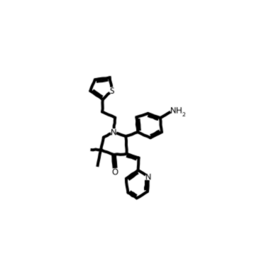 CC1(C)CN(CCc2cccs2)C(c2ccc(N)cc2)C(=Cc2ccccn2)C1=O